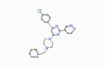 Clc1ccc(-c2cc(N3CCN(Cc4ccccc4)CC3)nc(-c3cccnc3)n2)cc1